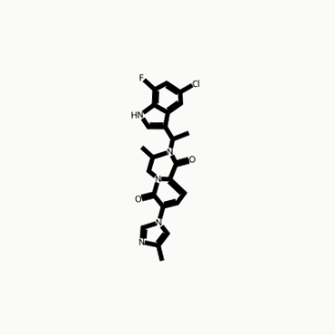 Cc1cn(-c2ccc3n(c2=O)CC(C)N(C(C)c2c[nH]c4c(F)cc(Cl)cc24)C3=O)cn1